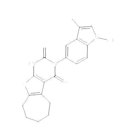 Cn1cc(I)c2cc(-n3c(=O)[nH]c4sc5c(c4c3=O)CCCCC5)ccc21